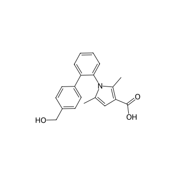 Cc1cc(C(=O)O)c(C)n1-c1ccccc1-c1ccc(CO)cc1